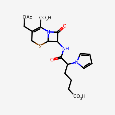 CC(=O)OCC1=C(C(=O)O)N2C(=O)C(NC(=O)C(CCCC(=O)O)n3cccc3)C2SC1